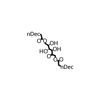 CCCCCCCCCCCC(=O)OCC(=O)[C@H](O)[C@H](O)[C@H](O)COC(=O)CCCCCCCCCCC